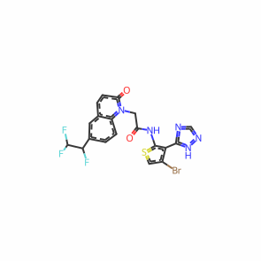 O=C(Cn1c(=O)ccc2cc(C(F)C(F)F)ccc21)Nc1scc(Br)c1-c1ncn[nH]1